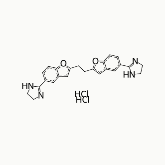 Cl.Cl.c1cc2oc(CCc3cc4cc(C5=NCCN5)ccc4o3)cc2cc1C1=NCCN1